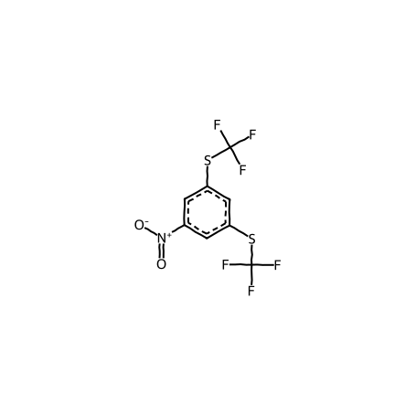 O=[N+]([O-])c1cc(SC(F)(F)F)cc(SC(F)(F)F)c1